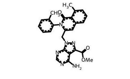 COC(=O)c1nn(Cc2cc3cccc(C)c3c(=O)n2-c2ccccc2C)c2ncnc(N)c12